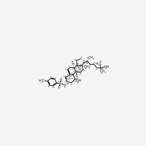 Cc1ccc(S(=O)(=O)O[C@@H]2CC3=CC[C@H]4[C@@H]5CC[C@H]([C@H](C)CCCC(C)(C)O)[C@@]5(C)CC[C@@H]4[C@@]3(C)[C@@H](O)C2)cc1